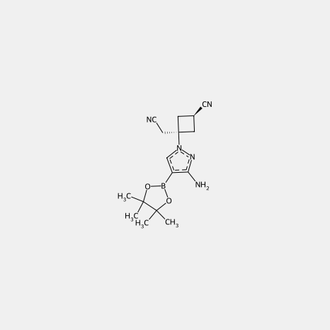 CC1(C)OB(c2cn([C@]3(CC#N)C[C@H](C#N)C3)nc2N)OC1(C)C